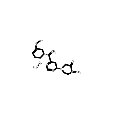 C=C(C1=NC=N[C@H](N2CCN(C)C(=O)C2)C1)[C@H]1CC(OC(C)C)=CC[C@H]1NN